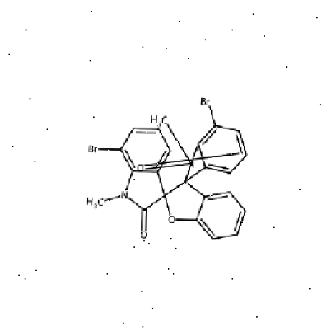 CN1C(=O)C2(Oc3ccccc3C23C(=O)N(C)c2c(Br)cccc23)c2cccc(Br)c21